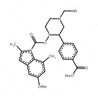 COC(=O)c1ccc(C2CN(CC(C)C)CCN2OC(=O)n2c(C)cc3cc(OC)cc(C)c32)cc1